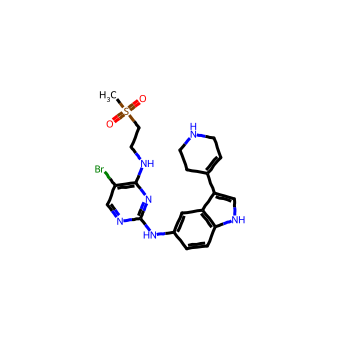 CS(=O)(=O)CCNc1nc(Nc2ccc3[nH]cc(C4=CCNCC4)c3c2)ncc1Br